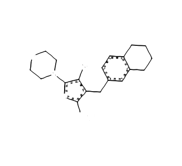 [C-]#[N+]c1c(N2CCOCC2)sc(C(=O)O)c1Cc1ccc2c(c1)CCCC2